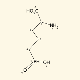 NC(CCC[PH](=O)O)C(=O)O